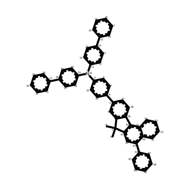 CC1(C)c2cc(-c3ccc(N(c4ccc(-c5ccccc5)cc4)c4ccc(-c5ccccc5)cc4)cc3)ccc2-c2c1cc(-c1ccccc1)c1ccccc21